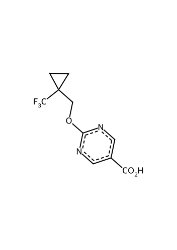 O=C(O)c1cnc(OCC2(C(F)(F)F)CC2)nc1